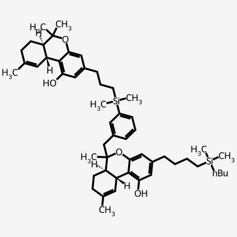 CCCC[Si](C)(C)CCCCc1cc(O)c2c(c1)OC(C)(Cc1cccc([Si](C)(C)CCCc3cc(O)c4c(c3)OC(C)(C)[C@@H]3CCC(C)=C[C@@H]43)c1)[C@@H]1CCC(C)=C[C@@H]21